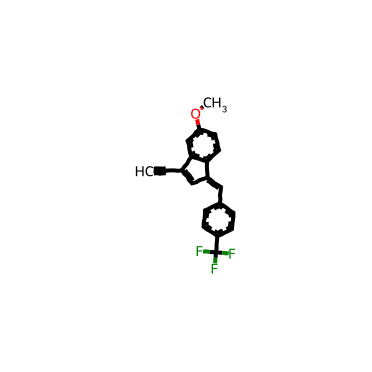 C#CC1=CC(=Cc2ccc(C(F)(F)F)cc2)c2ccc(OC)cc21